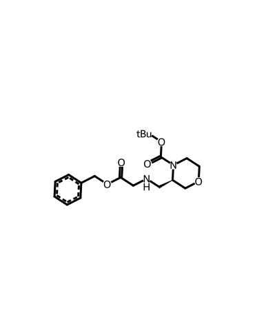 CC(C)(C)OC(=O)N1CCOC[C@H]1CNCC(=O)OCc1ccccc1